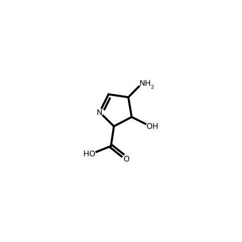 NC1C=NC(C(=O)O)C1O